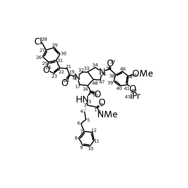 CNC(=O)[C@H](CCCc1ccccc1)NC(=O)C1CN(C(=O)Cc2coc3cc(Cl)ccc23)CC2CN(C(=O)c3ccc(OC(C)C)c(OC)c3)CC21